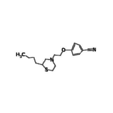 CCCCC1CN(CCOc2ccc(C#N)cc2)CCS1